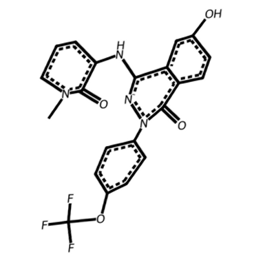 Cn1cccc(Nc2nn(-c3ccc(OC(F)(F)F)cc3)c(=O)c3ccc(O)cc23)c1=O